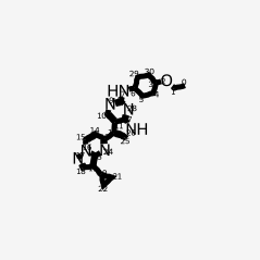 CCOC1CCC(Nc2ncc3c(-c4ccn5ncc(C6CC6)c5n4)c[nH]c3n2)CC1